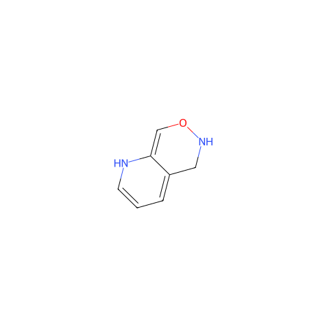 C1=CNC2=CONCC2=C1